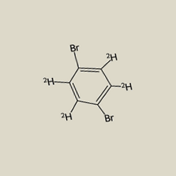 [2H]c1c([2H])c(Br)c([2H])c([2H])c1Br